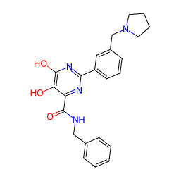 O=C(NCc1ccccc1)c1nc(-c2cccc(CN3CCCC3)c2)nc(O)c1O